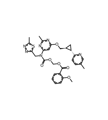 COc1ccccc1C(=O)OCOC(=O)N(Cc1nnc(C)s1)c1cc(OC[C@H]2C[C@@H]2c2ccc(C)cn2)nc(C)n1